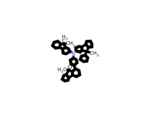 CC1(C)c2ccccc2-c2ccc(N(c3ccc(-c4cccc5c4C(C)(C)c4ccccc4-5)cc3)c3ccc4c(c3)C(C)(c3ccccc3)c3ccccc3-4)cc21